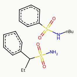 CCC(c1ccccc1)S(N)(=O)=O.CCCCNS(=O)(=O)c1ccccc1